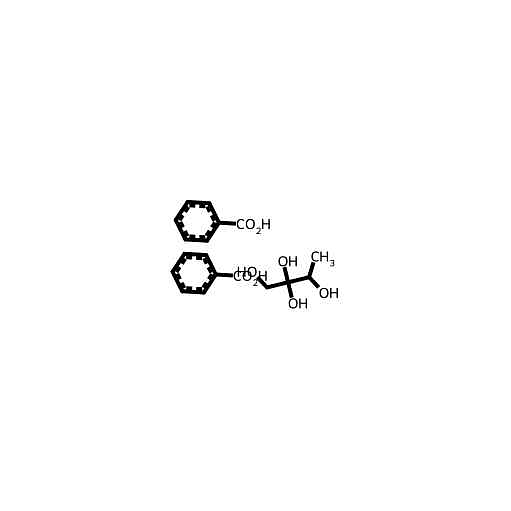 CC(O)C(O)(O)CO.O=C(O)c1ccccc1.O=C(O)c1ccccc1